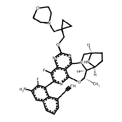 C#Cc1cccc2cc(N)c(F)c(-c3nc4c5c(nc(OCC6(CN7CCOCC7)CC6)nc5c3F)N3C[C@H]5CC[C@H](N5)[C@H]3[C@H](C)O4)c12